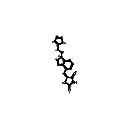 O=C1NC(=O)C(=Cc2cccc3c2ccn3CCc2cccs2)S1